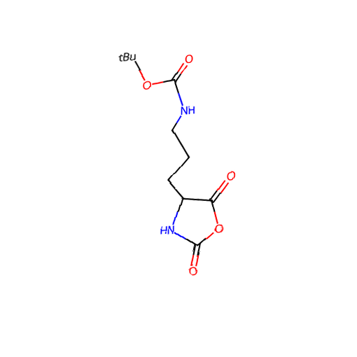 CC(C)(C)OC(=O)NCCCC1NC(=O)OC1=O